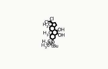 CC(C)(C)[Si](C)(C)O[C@H]1CC[C@]2(C)C3CC[C@]4(C)C(=C(Cl)Cl)CCC4C3[C@@H](O)[C@H](O)C2C1